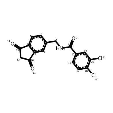 O=C(NCc1ccc2c(c1)C(=O)CC2=O)c1ccc(Cl)c(Cl)c1